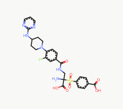 NC(CNC(=O)c1ccc(N2CCC(Nc3ncccn3)CC2)c(F)c1)(C(=O)O)S(=O)(=O)c1ccc(C(=O)O)cc1